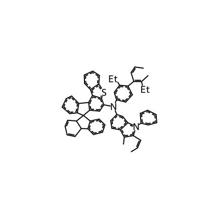 C/C=C\C(=C(/C)CC)c1ccc(N(c2ccc3c(C)c(/C=C\C)n(-c4ccccc4)c3c2)c2cc3c(c4c2sc2ccccc24)-c2ccccc2C32c3ccccc3C3C=CC=CC32)cc1CC